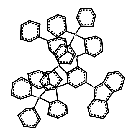 c1ccc(-c2ccc3c(c2)B2c4ccccc4N(c4ccccc4[Si](c4ccccc4)(c4ccccc4)c4ccccc4)c4cc(-n5c6ccccc6c6ccccc65)cc(c42)N3c2ccccc2[Si](c2ccccc2)(c2ccccc2)c2ccccc2)cc1